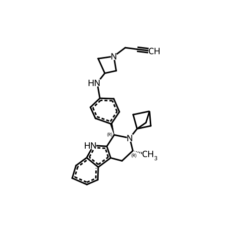 C#CCN1CC(Nc2ccc([C@@H]3c4[nH]c5ccccc5c4C[C@@H](C)N3C34CC(C3)C4)cc2)C1